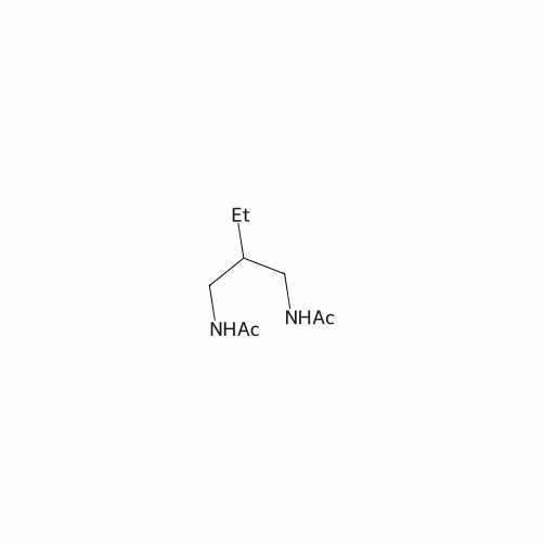 CCC(CNC(C)=O)CNC(C)=O